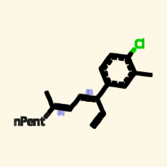 C=C/C(=C\C=C(/C)CCCCC)c1ccc(Cl)c(C)c1